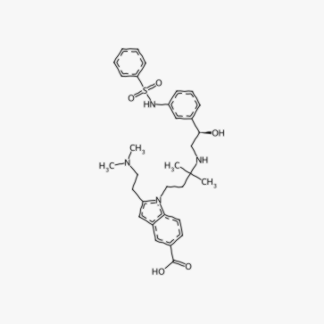 CN(C)CCc1cc2cc(C(=O)O)ccc2n1CCC(C)(C)NC[C@H](O)c1cccc(NS(=O)(=O)c2ccccc2)c1